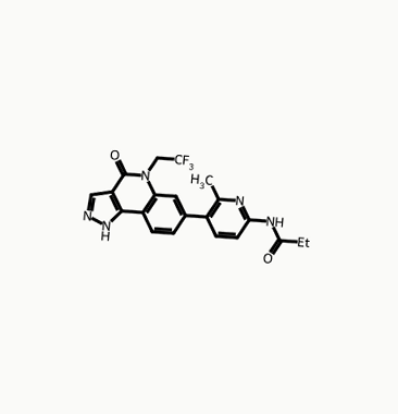 CCC(=O)Nc1ccc(-c2ccc3c4[nH]ncc4c(=O)n(CC(F)(F)F)c3c2)c(C)n1